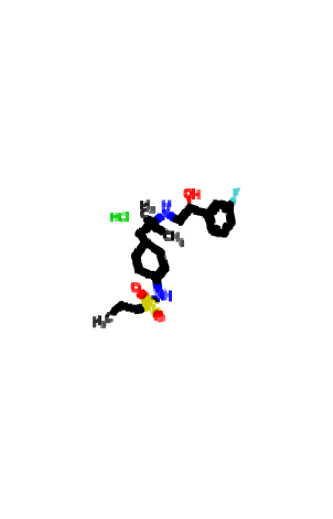 CCCS(=O)(=O)NC1CCC(CC(C)(C)NC[C@H](O)c2cccc(F)c2)CC1.Cl